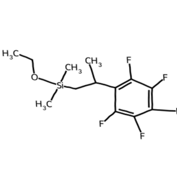 CCO[Si](C)(C)CC(C)c1c(F)c(F)c(F)c(F)c1F